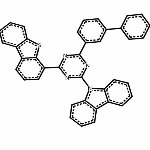 c1ccc(-c2cccc(-c3nc(-c4cccc5c4sc4ccccc45)nc(-n4c5ccccc5c5ccccc54)n3)c2)cc1